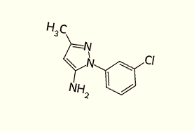 Cc1cc(N)n(-c2cccc(Cl)c2)n1